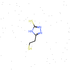 SCCc1nnc(S)[nH]1